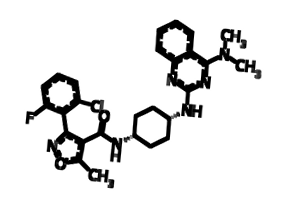 Cc1onc(-c2c(F)cccc2Cl)c1C(=O)N[C@H]1CC[C@@H](Nc2nc(N(C)C)c3ccccc3n2)CC1